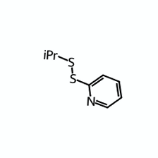 CC(C)SSc1ccccn1